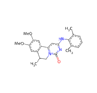 COc1cc2c(cc1OC)C(C)Cn1c-2cc(Nc2c(C)cccc2C)nc1=O